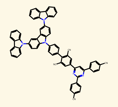 N#Cc1ccc(-c2cc(-c3cc(C#N)c(-c4ccc(-n5c6ccc(-n7c8ccccc8c8ccccc87)cc6c6cc(-n7c8ccccc8c8ccccc87)ccc65)cc4)c(C#N)c3)nc(-c3ccc(C#N)cc3)n2)cc1